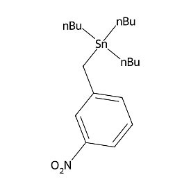 CCC[CH2][Sn]([CH2]CCC)([CH2]CCC)[CH2]c1cccc([N+](=O)[O-])c1